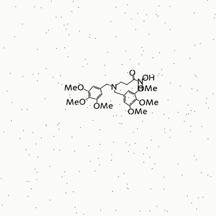 COc1cc(CN(CCC(=O)NO)Cc2cc(OC)c(OC)c(OC)c2)cc(OC)c1OC